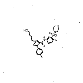 Cc1ccc(-c2nn(CCCCO)cc2C(=O)Nc2ccc(C)c(S(=O)(=O)N3CCOCC3)c2)cc1